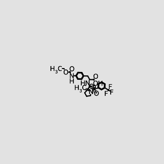 CCOC(=O)Nc1ccc(CC(NC(=O)[C@]2(C)CCCN2S(=O)(=O)c2cccc(C(F)(F)F)c2)C(=O)O)cc1